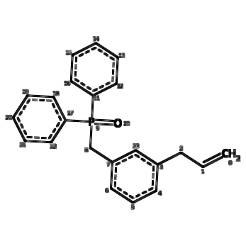 C=CCc1cccc(CP(=O)(c2ccccc2)c2ccccc2)c1